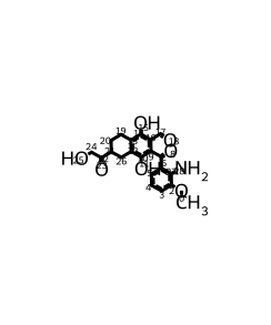 COc1cccc(C(=O)c2c(O)c3c(c(O)c2C=O)CCC(C(=O)CO)C3)c1N